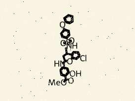 COC(=O)c1ccc(NC(=O)CC(CNS(=O)(=O)c2ccc(Oc3ccccc3)cc2)c2ccc(Cl)cc2)cc1O